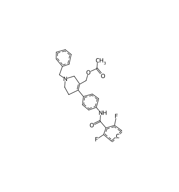 CC(=O)OCC1=C(c2ccc(NC(=O)c3c(F)cccc3F)cc2)CCN(Cc2ccccc2)C1